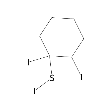 ISC1(I)CCCCC1I